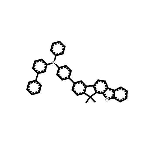 CC1(C)c2ccc(-c3ccc(N(c4ccccc4)c4cccc(-c5ccccc5)c4)cc3)cc2-c2ccc3c(oc4ccccc43)c21